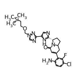 C[Si](C)(C)CCOCn1cnc(-c2cnc([C@@H]3CCC4CC(c5c(N)ccc(Cl)c5F)=CC(=O)N43)[nH]2)n1